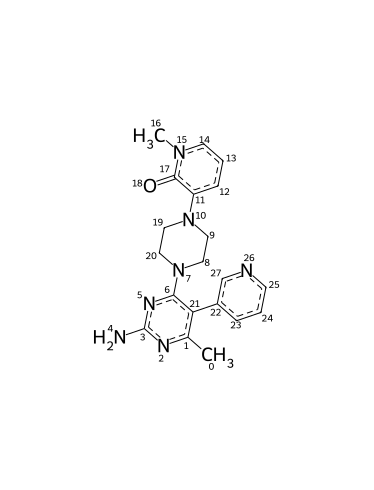 Cc1nc(N)nc(N2CCN(c3cccn(C)c3=O)CC2)c1-c1cccnc1